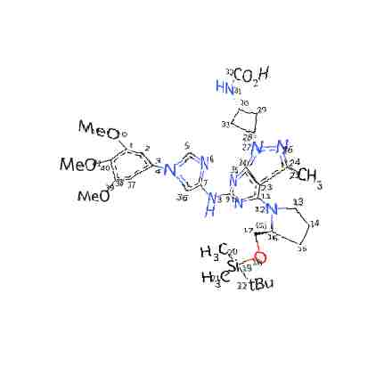 COc1cc(-n2cnc(Nc3nc(N4CCC[C@H]4CO[Si](C)(C)C(C)(C)C)c4c(C)nn([C@H]5C[C@@H](NC(=O)O)C5)c4n3)c2)cc(OC)c1OC